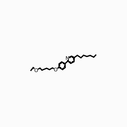 CCCCCCCc1ccc(-c2ccc(OCCCCCOCC)cc2)nc1